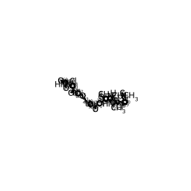 COc1cc2nc(C)nc(N[C@H](C)c3cc(-c4c(Cl)cccc4CN(C)C)cs3)c2cc1C1CCC(C(=O)N2CCN(CCCOC3CCN(C(=O)c4ccc(Cl)c(-n5ccc(=O)[nH]c5=O)c4)CC3)CC2)CC1